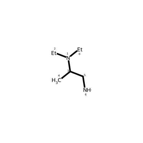 CCN(CC)C(C)C[NH]